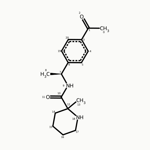 CC(=O)c1ccc([C@H](C)NC(=O)C2(C)CCCCN2)cc1